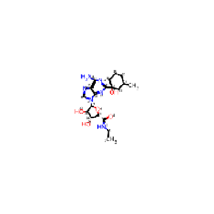 CCNC(=O)[C@H]1O[C@@H](n2cnc3c(N)nc(C4(O)CCCC(C)C4)nc32)C(O)[C@H]1O